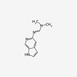 CN(C)C=Nc1cc2cc[nH]c2cn1